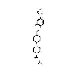 CC(OC(=O)N1CCN(C2CCC(COc3ccc(-n4cnnn4)cc3F)CC2)CC1)C(F)(F)F